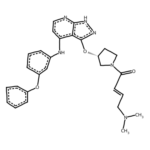 CN(C)CC=CC(=O)N1CC[C@@H](Oc2n[nH]c3nccc(Nc4cccc(Oc5ccccc5)c4)c23)C1